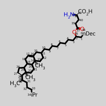 CCCCCCCCCCCC(CCCCCCCCC1CC[C@@]2(C)C(=CCC3C2CC[C@@]2(C)C3CC[C@@H]2[C@H](C)CCCC(C)C)C1)OC(=O)CC[C@H](N)C(=O)O